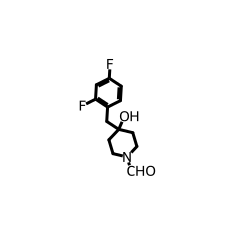 O=CN1CCC(O)(Cc2ccc(F)cc2F)CC1